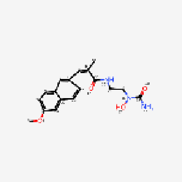 COc1ccc2cc(C=C(C)C(=O)NCCN(O)C(N)=O)ccc2c1